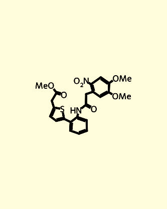 COC(=O)Cc1ccc(-c2ccccc2NC(=O)Cc2cc(OC)c(OC)cc2[N+](=O)[O-])s1